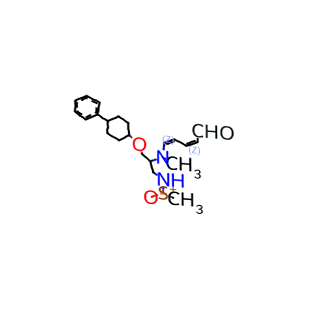 CN(/C=C\C=C/C=O)C(CN[S+](C)[O-])COC1CCC(c2ccccc2)CC1